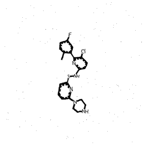 Cc1ccc(F)cc1-c1nc(NSc2cccc(N3CCNCC3)n2)ccc1Cl